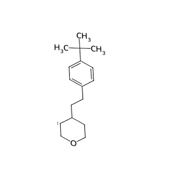 CC(C)(C)c1ccc(CCC2[C]COCC2)cc1